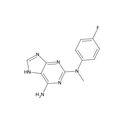 CN(c1ccc(F)cc1)c1nc(N)c2[nH]cnc2n1